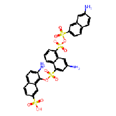 Nc1ccc2ccc(S(=O)(=O)OS(=O)(=O)c3cccc4c(S(=O)(=O)Oc5c(N)ccc6ccc(S(=O)(=O)O)cc56)cc(N)cc34)cc2c1